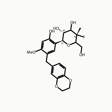 COc1cc(O)c([C@@H]2OC(CO)[C@@](C)(F)C(O)[C@H]2O)cc1Cc1ccc2c(c1)OCCO2